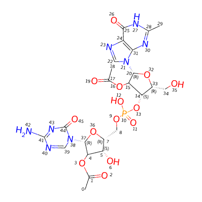 CC(=O)OC1[C@@H](O)[C@@H](COP(=O)(O)O[C@@H]2C(OC(C)=O)[C@H](n3cnc4c(=O)[nH]c(C)nc43)O[C@@H]2CO)O[C@H]1n1cnc(N)nc1=O